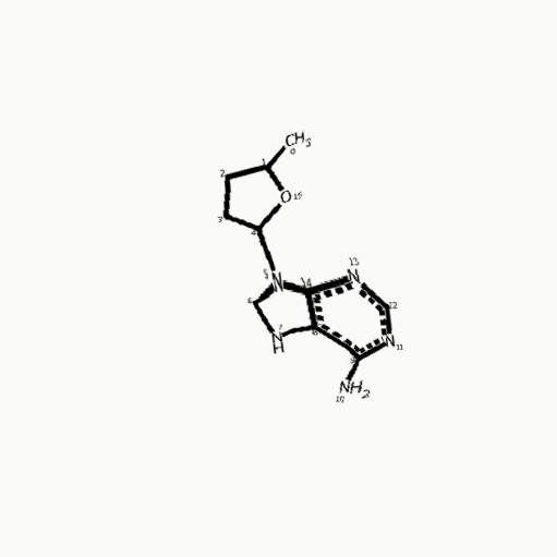 CC1CCC(N2CNc3c(N)ncnc32)O1